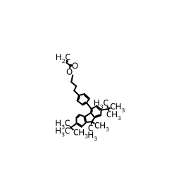 C=CC(=O)OCCCCc1ccc(-c2cc(C(C)(C)C)cc3c2-c2ccc(C(C)(C)C)cc2C3(C)C)cc1